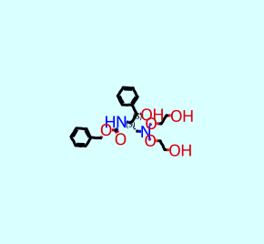 O=C(N[C@@H](CN(OCCO)OCCO)[C@@H](O)c1ccccc1)OCc1ccccc1